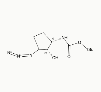 CC(C)(C)OC(=O)N[C@H]1CCC(N=[N+]=[N-])[C@H]1O